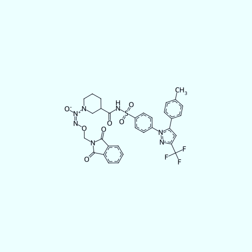 Cc1ccc(-c2cc(C(F)(F)F)nn2-c2ccc(S(=O)(=O)NC(=O)C3CCCN(/[N+]([O-])=N\OCN4C(=O)c5ccccc5C4=O)C3)cc2)cc1